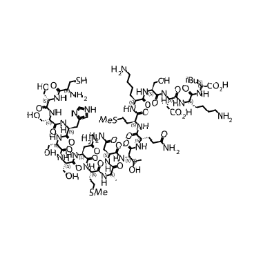 CC[C@H](C)[C@H](NC(=O)[C@H](CCCCN)NC(=O)[C@H](CC(=O)O)NC(=O)[C@H](CO)NC(=O)[C@H](CCCCN)NC(=O)[C@H](CCSC)NC(=O)[C@H](CCC(N)=O)NC(=O)[C@@H](NC(=O)[C@H](CC(N)=O)NC(=O)[C@H](C)NC(=O)[C@H](CCSC)NC(=O)[C@H](CC(N)=O)NC(=O)[C@H](CO)NC(=O)[C@H](CO)NC(=O)[C@H](Cc1c[nH]cn1)NC(=O)[C@H](CO)NC(=O)[C@H](CO)NC(=O)[C@@H](N)CS)[C@@H](C)O)C(=O)O